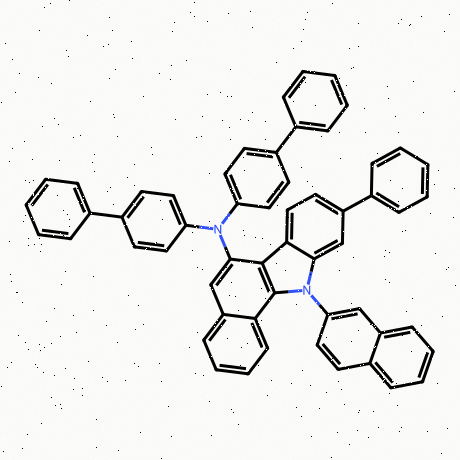 c1ccc(-c2ccc(N(c3ccc(-c4ccccc4)cc3)c3cc4ccccc4c4c3c3ccc(-c5ccccc5)cc3n4-c3ccc4ccccc4c3)cc2)cc1